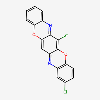 Clc1ccc2c(c1)N=c1cc3c(c(Cl)c1O2)=Nc1ccccc1O3